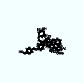 CC[C@]1(O)C[C@H]2CN(CCc3c([nH]c4ccc(SCc5ccc(CO)cc5)cc34)[C@@](C(=O)OC)(c3cc4c(cc3OC)N(C)[C@H]3[C@@](O)(C(=O)OC)[C@H](OC(C)=O)[C@]5(CC)C=CCN6CC[C@]43[C@@H]65)C2)C1